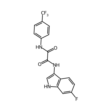 O=C(Nc1ccc(C(F)(F)F)cc1)C(=O)Nc1c[nH]c2cc(F)ccc12